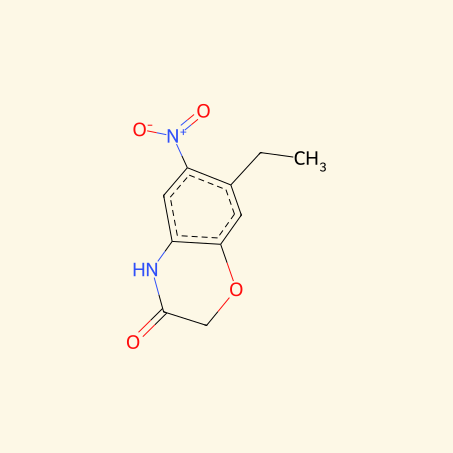 CCc1cc2c(cc1[N+](=O)[O-])NC(=O)CO2